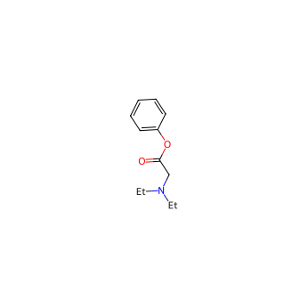 CCN(CC)CC(=O)Oc1ccccc1